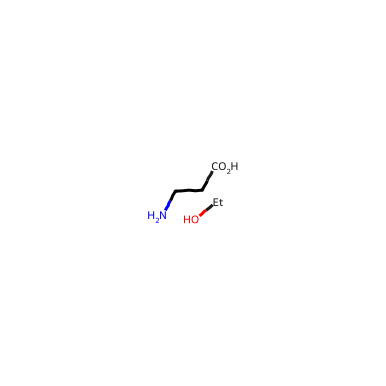 CCO.NCCC(=O)O